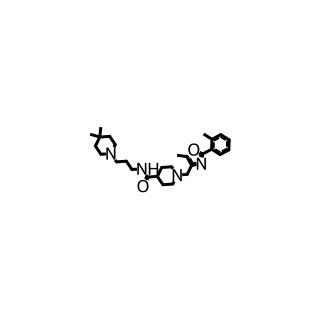 Cc1ccccc1-c1nc(CN2CCC(C(=O)NCCCN3CCC(C)(C)CC3)CC2)c(C)o1